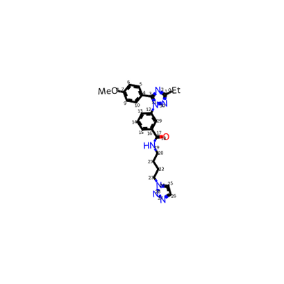 CCc1nc(-c2ccc(OC)cc2)n(-c2cccc(C(=O)NCCCCn3ccnn3)c2)n1